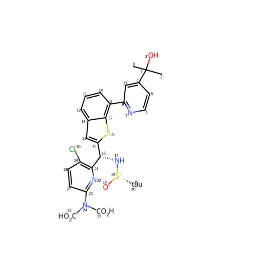 CC(C)(O)c1ccnc(-c2cccc3cc([C@H](N[S@@+]([O-])C(C)(C)C)c4nc(N(C(=O)O)C(=O)O)ccc4Cl)sc23)c1